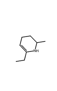 CCC1=CCCC(C)N1